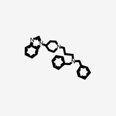 c1ccc(CN(CCCN2CCC(n3cnc4ccccc43)CC2)Cc2ccccc2)cc1